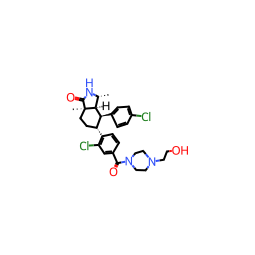 C[C@H]1NC(=O)[C@]2(C)CC[C@@H](c3ccc(C(=O)N4CCN(CCO)CC4)cc3Cl)[C@H](c3ccc(Cl)cc3)[C@H]12